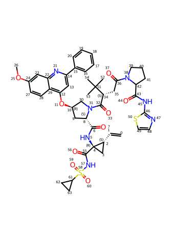 C=C[C@@H]1C[C@]1(NC(=O)[C@@H]1C[C@@H](Oc2cc(-c3ccccc3)nc3cc(OC)ccc23)CN1C(=O)[C@@H](CC(=O)N1CCCC1C(=O)Nc1nccs1)C(C)(C)C)C(=O)NS(=O)(=O)C1CC1